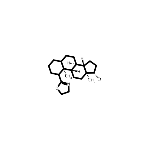 CC[C@H]1CC[C@H]2[C@@H]3CCC4CCCC(C5=NCCO5)[C@]4(C)[C@H]3CC[C@]12C